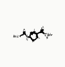 CNC(=O)Nc1ccc(C(=O)OC)cc1